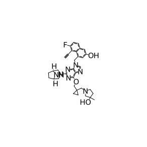 C#Cc1c(F)ccc2cc(O)cc(Cn3cnc4c(OCC5(CN6CCC(C)(O)C6)CC5)nc(N5C[C@H]6CC[C@@H](C5)N6)nc43)c12